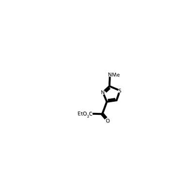 CCOC(=O)C(=O)c1csc(NC)n1